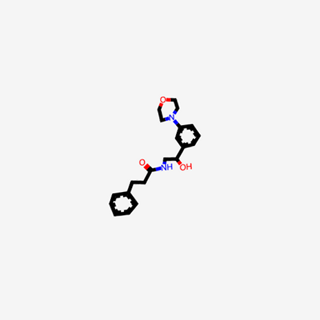 O=C(CCc1ccccc1)NCC(O)c1cccc(N2CCOCC2)c1